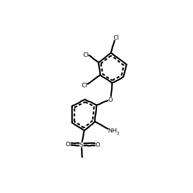 CS(=O)(=O)c1cccc(Oc2ccc(Cl)c(Cl)c2Cl)c1N